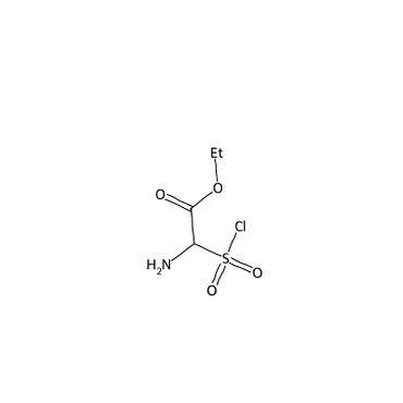 CCOC(=O)C(N)S(=O)(=O)Cl